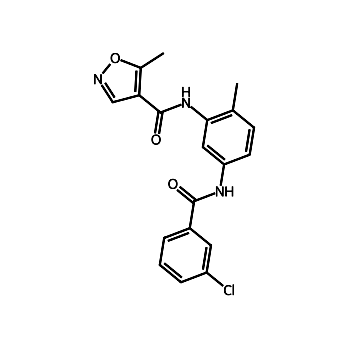 Cc1ccc(NC(=O)c2cccc(Cl)c2)cc1NC(=O)c1cnoc1C